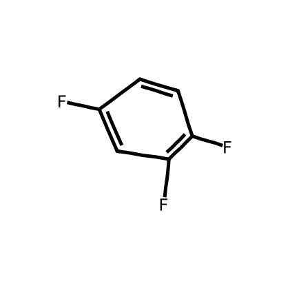 Fc1ccc(F)c(F)c1